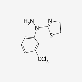 NN(C1=NCCS1)c1cccc(C(Cl)(Cl)Cl)c1